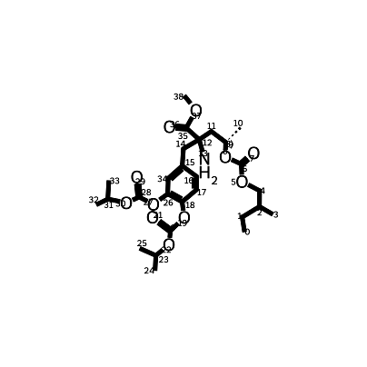 CCC(C)COC(=O)O[C@@H](C)CC(N)(Cc1ccc(OC(=O)OC(C)C)c(OC(=O)OC(C)C)c1)C(=O)OC